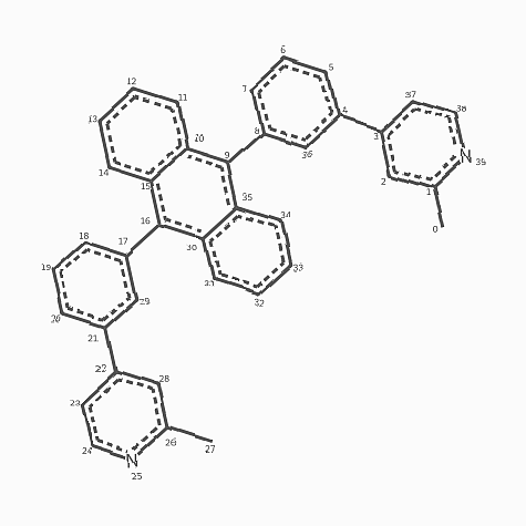 Cc1cc(-c2cccc(-c3c4ccccc4c(-c4cccc(-c5ccnc(C)c5)c4)c4ccccc34)c2)ccn1